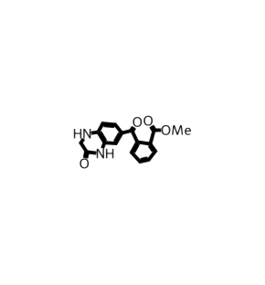 COC(=O)c1ccccc1C(=O)c1ccc2c(c1)NC(=O)CN2